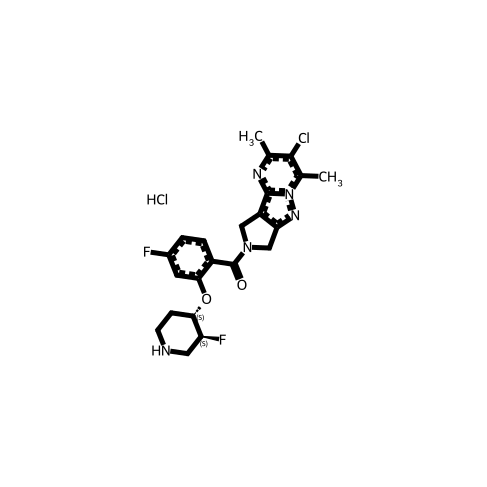 Cc1nc2c3c(nn2c(C)c1Cl)CN(C(=O)c1ccc(F)cc1O[C@H]1CCNC[C@@H]1F)C3.Cl